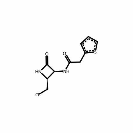 O=C(Cc1cccs1)N[C@@H]1C(=O)N[C@@H]1CCl